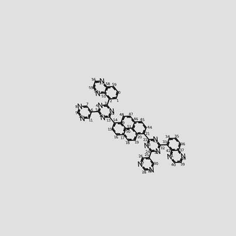 c1cc(-c2nc(-c3cncnc3)nc(-c3ccc4ccc5c(-c6nc(-c7cncnc7)nc(-c7cccc8nccnc78)n6)ccc6ccc3c4c65)n2)c2nccnc2c1